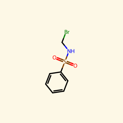 O=S(=O)(NCBr)c1ccccc1